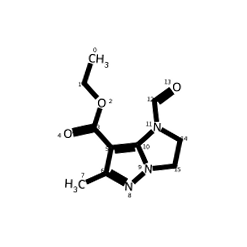 CCOC(=O)c1c(C)nn2c1N(C=O)CC2